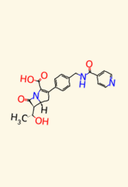 C[C@@H](O)[C@H]1C(=O)N2C(C(=O)O)=C(c3ccc(CNC(=O)c4ccncc4)cc3)C[C@H]12